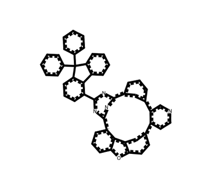 c1ccc(C2(c3ccccc3)c3ccccc3-c3c(-c4nc5nc(n4)c4cccc6oc7ccc(cc7c64)c4ccncc4c4cccc5c4)cccc32)cc1